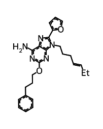 CCC=CCCCn1c(-c2ccco2)nc2c(N)nc(OCCCc3ccccc3)nc21